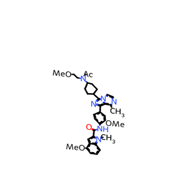 COCCN(C(C)=O)C1CCC(c2nc(-c3ccc(NC(=O)c4cc5c(OC)cccc5n4C)c(OC)c3)c3c(C)nccn23)CC1